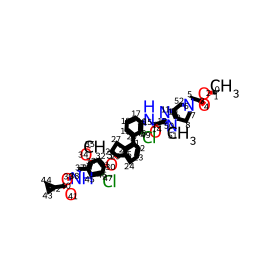 CCOC(=O)CN1CCc2c(nc(C(=O)Nc3cccc(-c4cccc5c4CCC5Oc4cc(OC)c(CNOC(=O)C5CC5)cc4Cl)c3Cl)n2C)C1